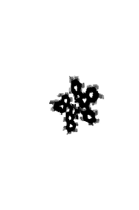 c1ccc2c(-c3nc(-n4c5ccccc5c5c6ccccc6c6c7ccccc7sc6c54)nc4c3ccc3ccccc34)cccc2c1